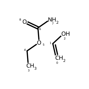 C=CO.CCOC(N)=O